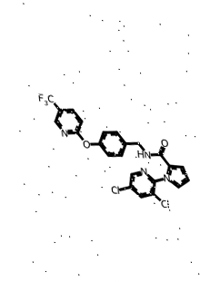 O=C(NCc1ccc(Oc2ccc(C(F)(F)F)cn2)cc1)c1cccn1-c1ncc(Cl)cc1Cl